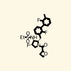 CCS(=O)(=O)N[C@H]1[C@@H](F)CN(C(=O)C2CCO2)[C@H]1Cc1cccc(-c2cccc(C)c2F)c1F